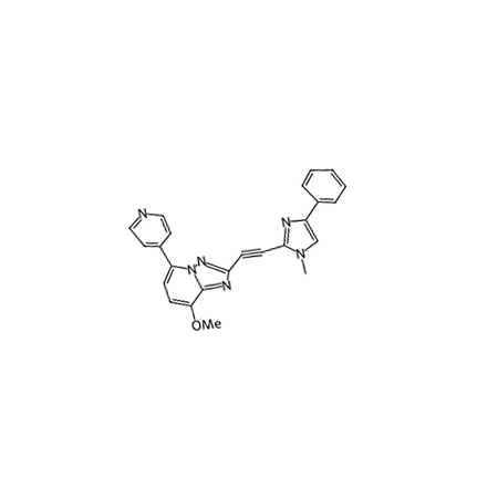 COc1ccc(-c2ccncc2)n2nc(C#Cc3nc(-c4ccccc4)cn3C)nc12